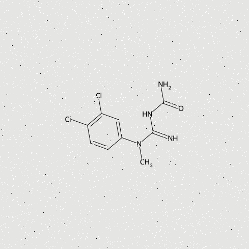 CN(C(=N)NC(N)=O)c1ccc(Cl)c(Cl)c1